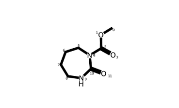 COC(=O)N1CCCCNC1=O